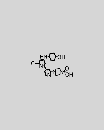 O=C(O)N1CCN(c2cc(-c3cc(N[C@H]4CC[C@H](O)CC4)cc(Cl)n3)ccn2)CC1